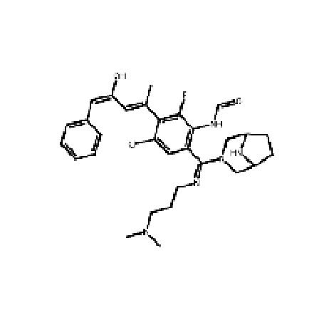 C/C(=C\C(O)=C/c1ccccc1)c1c(Cl)cc(/C(=N\CCCN(C)C)N2CC3CCC(C2)N3)c(NC=O)c1F